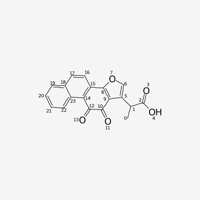 CC(C(=O)O)c1coc2c1C(=O)C(=O)c1c-2ccc2ccccc12